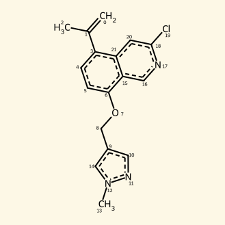 C=C(C)c1ccc(OCc2cnn(C)c2)c2cnc(Cl)cc12